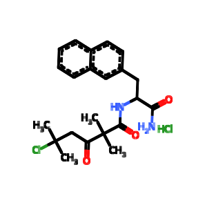 CC(C)(Cl)CC(=O)C(C)(C)C(=O)NC(Cc1ccc2ccccc2c1)C(N)=O.Cl